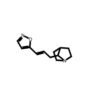 C(=C\c1ccno1)/CC1C2CCN1CC2